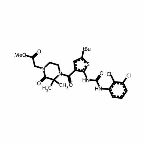 COC(=O)CN1CCN(C(=O)c2cc(C(C)(C)C)sc2NC(=O)Nc2cccc(Cl)c2Cl)C(C)(C)C1=O